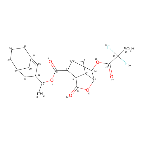 CC(OC(=O)C1C2CC3C(OC(=O)C31)C2OC(=O)C(F)(F)S(=O)(=O)O)C1C=C2CCCC(C2)C1